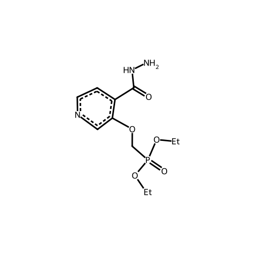 CCOP(=O)(COc1cnccc1C(=O)NN)OCC